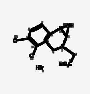 Br.CCOC(=O)CN1Cc2c(ccc(Cl)c2Cl)N2NC12